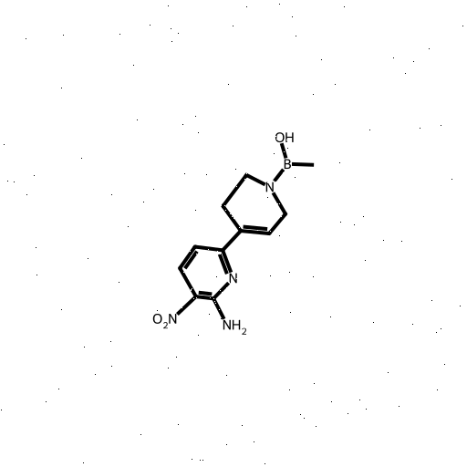 CB(O)N1CC=C(c2ccc([N+](=O)[O-])c(N)n2)CC1